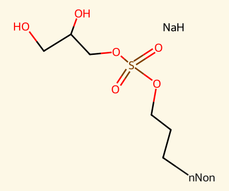 CCCCCCCCCCCCOS(=O)(=O)OCC(O)CO.[NaH]